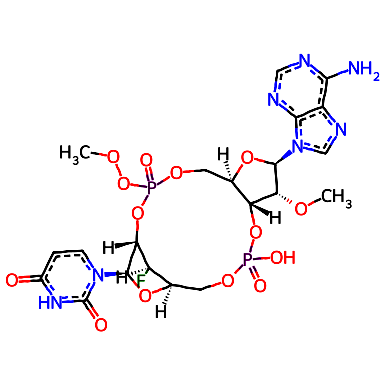 COOP1(=O)OC[C@H]2O[C@@H](n3cnc4c(N)ncnc43)[C@H](OC)[C@@H]2OP(=O)(O)OC[C@H]2O[C@@H](n3ccc(=O)[nH]c3=O)[C@H](O1)[C@@H]2F